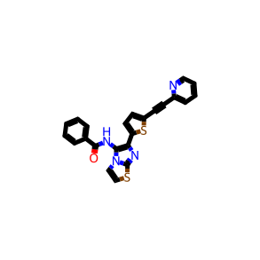 O=C(Nc1c(-c2ccc(C#Cc3ccccn3)s2)nc2sccn12)c1ccccc1